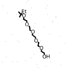 CCC(C)(C)OCCOCCOCCOCCOCCO